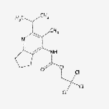 Cc1c(C(C)C)nc2c(c1NC(=O)OCC(Cl)(Cl)Cl)CCC2